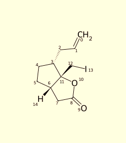 C=CC[C@H]1CC[C@H]2CC(=O)O[C@@]12CI